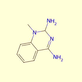 CN1c2ccccc2C(N)=NC1N